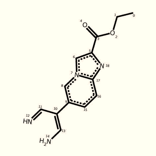 CCOC(=O)c1cn2cc(/C(C=N)=C/N)ccc2n1